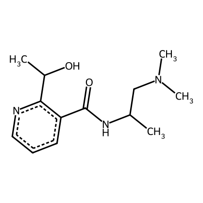 CC(CN(C)C)NC(=O)c1cccnc1C(C)O